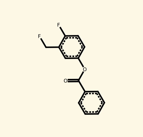 O=C(Oc1ccc(F)c(CF)c1)c1ccccc1